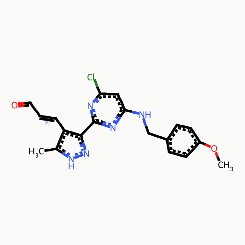 COc1ccc(CNc2cc(Cl)nc(-c3n[nH]c(C)c3/C=C/C=O)n2)cc1